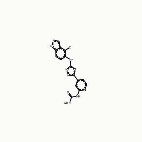 CNC(=O)Nc1cc(-c2nnc(Nc3ccc4[nH]ncc4c3Cl)s2)ccn1